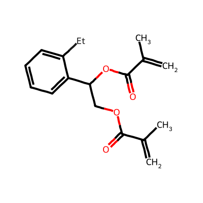 C=C(C)C(=O)OCC(OC(=O)C(=C)C)c1ccccc1CC